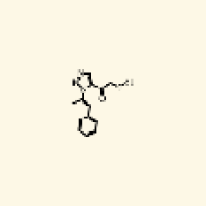 CCSCC(=O)c1cnnn1C(C)=Cc1ccccc1